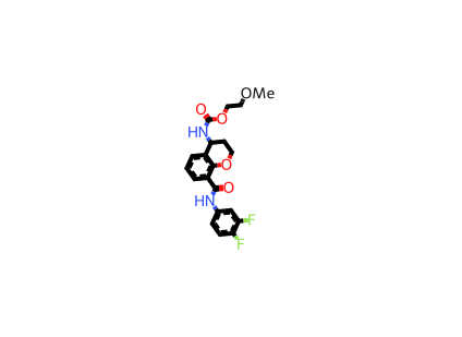 COCCOC(=O)NC1CCOc2c(C(=O)Nc3ccc(F)c(F)c3)cccc21